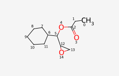 CCC(=O)OC(C1CCCCC1)C1CO1